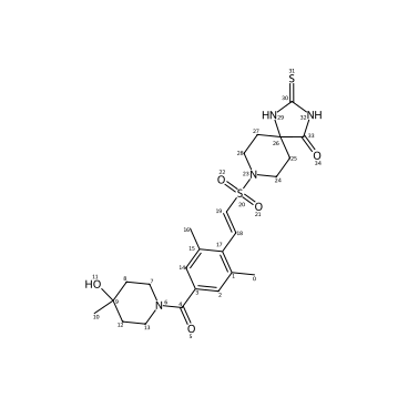 Cc1cc(C(=O)N2CCC(C)(O)CC2)cc(C)c1/C=C/S(=O)(=O)N1CCC2(CC1)NC(=S)NC2=O